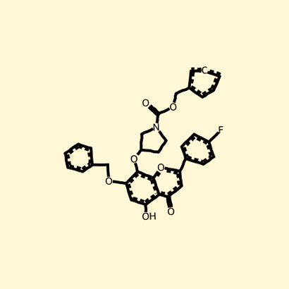 O=C(OCc1ccccc1)N1CCC(Oc2c(OCc3ccccc3)cc(O)c3c(=O)cc(-c4ccc(F)cc4)oc23)C1